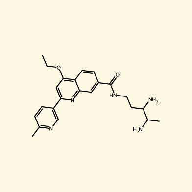 CCOc1cc(-c2ccc(C)nc2)nc2cc(C(=O)NCCC(N)C(C)N)ccc12